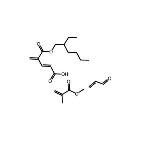 C=C(C)C(=O)OC.C=C(C=CC(=O)O)C(=O)OCC(CC)CCCC.C=CC=O